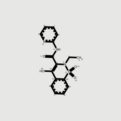 CCN1C(C(=O)Nc2ccccn2)=C(O)c2ccccc2S1(=O)=O